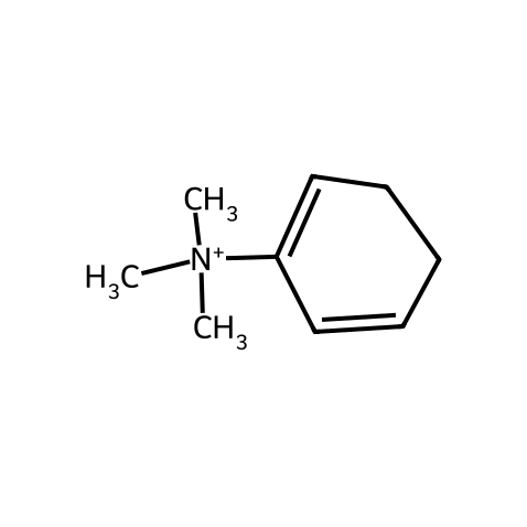 C[N+](C)(C)C1=CCCC=C1